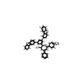 CCC1CC(c2ccccc2)=CC(C2C=CC(C#N)=CC2)=NC1c1cc(-c2ccc3oc4ccccc4c3c2)cc(-c2ccc3oc4ccccc4c3c2)c1